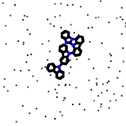 c1ccc2c(c1)nc1n2c2cccc3c4cccc(-n5c6ccccc6c6cc(-n7c8ccccc8c8ccccc87)ccc65)c4n1c32